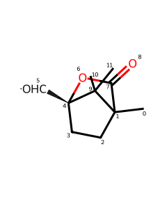 CC12CC[C@]([C]=O)(OC1=O)C2(C)C